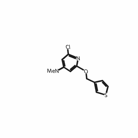 CNc1cc(Cl)nc(OCc2ccsc2)c1